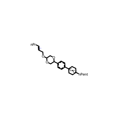 CCC/C=C/COC1COC(c2ccc(C34CCC(CCCCC)(CC3)CC4)cc2)CO1